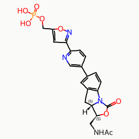 CC(=O)NC[C@@H]1OC(=O)N2c3ccc(-c4ccc(-c5cc(COP(=O)(O)O)on5)nc4)cc3C[C@@H]12